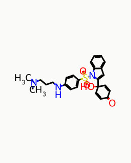 CN(C)CCCNc1ccc(S(=O)(=O)n2c(C3(O)C=CC(=O)C=C3)cc3ccccc32)cc1